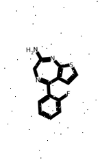 NC1=Nc2sccc2C(c2ccccc2F)=NC1